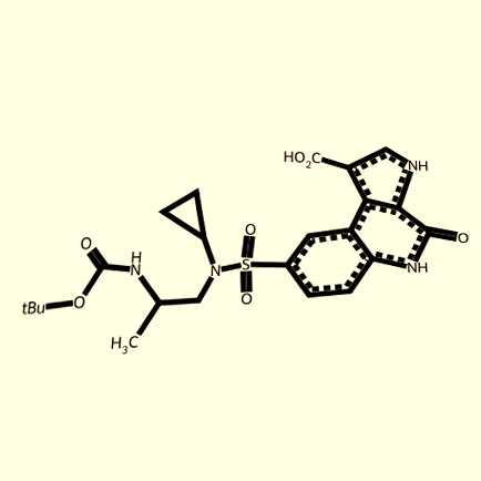 CC(CN(C1CC1)S(=O)(=O)c1ccc2[nH]c(=O)c3[nH]cc(C(=O)O)c3c2c1)NC(=O)OC(C)(C)C